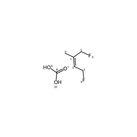 CC(=CCF)CF.O=C(O)O